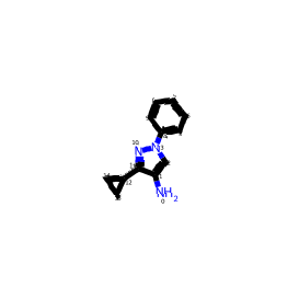 Nc1cn(-c2ccccc2)nc1C1CC1